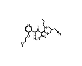 CCCN1CC(CC#N)Cn2nc(N)c(C(=O)Nc3cnccc3OCCOC)c21